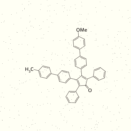 COc1ccc(-c2ccc(C3=C(c4ccccc4)C(=O)C(c4ccccc4)=C3c3ccc(-c4ccc(C)cc4)cc3)cc2)cc1